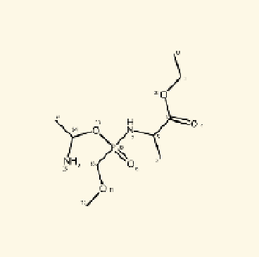 CCOC(=O)C(C)NP(=O)(COC)OC(C)N